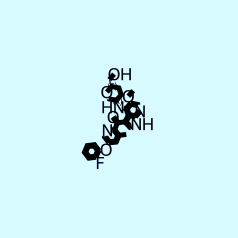 COc1cnc2[nH]cc(C(=O)c3ncc(Oc4ccccc4F)cc3C)c2c1N[C@@H]1CC[C@@H](CO)OC1